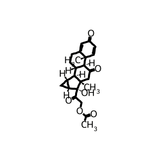 CC(=O)OCC(=O)[C@@]1(O)[C@@H]2C[C@@H]2[C@H]2[C@@H]3CCC4=CC(=O)C=C[C@]4(C)[C@H]3C(=O)C[C@@]21C